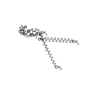 CCCCCCCCCCCCCCCCCCN(CCCCCCCCCCCCCCCCCC)C(=O)CC[C@@H](C)[C@H]1CCC2C3CC[C@@H]4C[C@H](OC(=O)ON5C(=O)CCC5=O)CC[C@]4(C)C3CC[C@@]21C